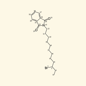 CCC(Br)CCCCCCCCCN1C(=O)c2ccccc2C1=O